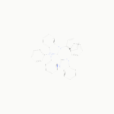 c1ccc(N2c3ccccc3[N+](c3ccccc3)(c3ccccc3)C2c2nc3ccccc3n2-c2ccccc2)cc1